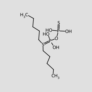 CCCCCS(CCCCC)=P(O)(O)OP(O)(O)=S